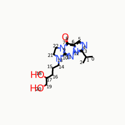 CC(C)c1ncc2c(=O)n3c(nn12)N(CCCC(O)CO)CC3